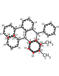 Cc1cccc(N(c2ccccc2)c2cccc(-c3ccccc3)c2N(c2ccccc2)c2cccc(C)c2)c1